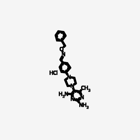 Cc1nc(N)nc(N)c1N1CCN(c2ccc(C=NOCc3ccccc3)cc2)CC1.Cl